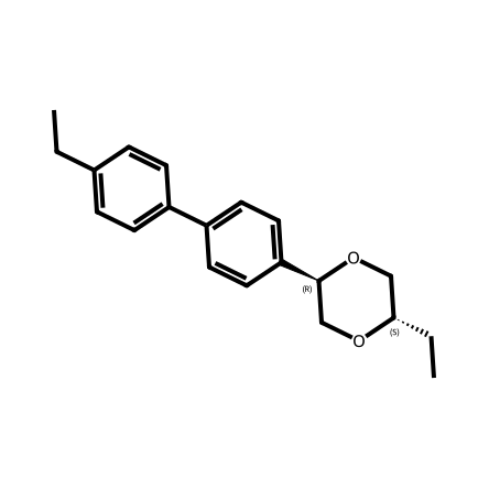 CCc1ccc(-c2ccc([C@@H]3CO[C@@H](CC)CO3)cc2)cc1